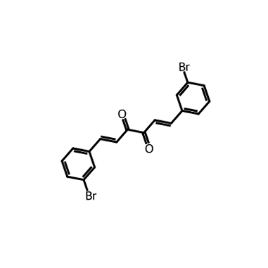 O=C(/C=C/c1cccc(Br)c1)C(=O)/C=C/c1cccc(Br)c1